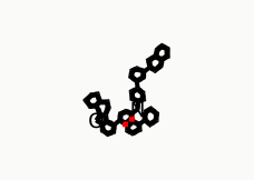 c1ccc(-c2ccccc2N(c2ccc(-c3cccc(-c4ccc5ccccc5c4)c3)cc2)c2ccc(-c3cccc4oc5c6ccccc6ccc5c34)cc2)cc1